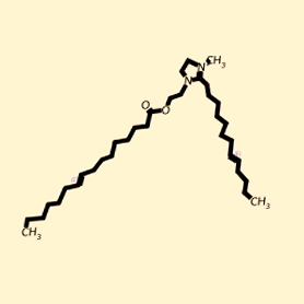 CCCC/C=C/CCCCCCCC1=[N+](C)CCN1CCOC(=O)CCCCCCC/C=C/CCCCCC